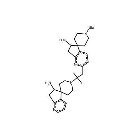 CC(C)(C)N1CCC2(CC1)c1ccc(CC(C)(C)N3CCC4(CC3)c3nccnc3CC4N)nc1CC2N